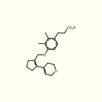 Cc1c(CCC(=O)O)ccc(OCC2=C(C3=CCOCC3)CCC2)c1C